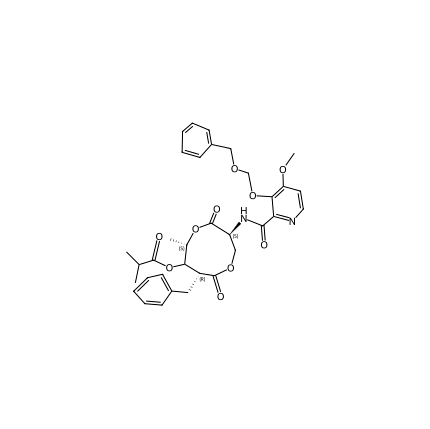 COc1ccnc(C(=O)N[C@H]2COC(=O)[C@H](Cc3ccccc3)C(OC(=O)C(C)C)[C@H](C)OC2=O)c1OCOCc1ccccc1